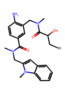 CC(C)CC(O)C(=O)N(C)Cc1cc(C(=O)N(C)Cc2cc3ccccc3n2C)ccc1N